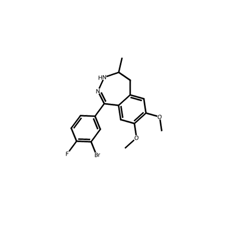 COc1cc2c(cc1OC)C(c1ccc(F)c(Br)c1)=NNC(C)C2